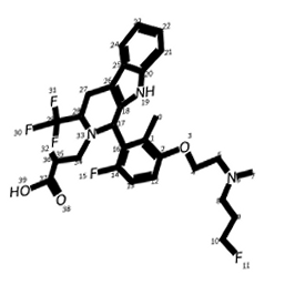 Cc1c(OCCN(C)CCCF)ccc(F)c1C1c2[nH]c3ccccc3c2CC(C(F)(F)F)N1CC(C)C(=O)O